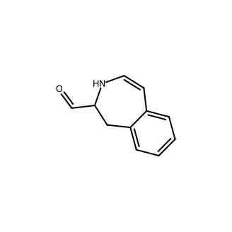 O=CC1Cc2ccccc2C=CN1